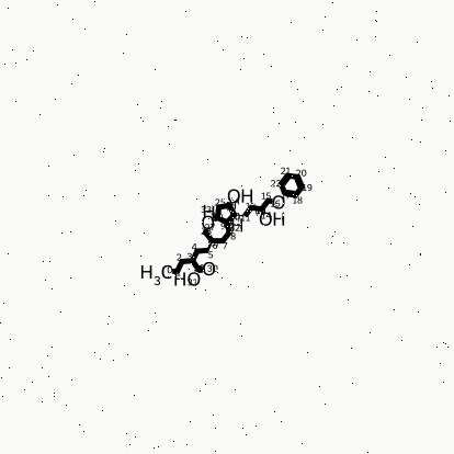 CCCC(CC[C@@H]1CC[C@@H]2[C@@H](CC[C@@H](O)COc3ccccc3)[C@H](O)C[C@@H]2OC1)C(=O)O